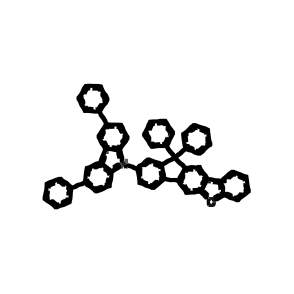 c1ccc(-c2ccc3c(c2)c2cc(-c4ccccc4)ccc2n3-c2ccc3c(c2)C(c2ccccc2)(c2ccccc2)c2cc4c(cc2-3)oc2ccccc24)cc1